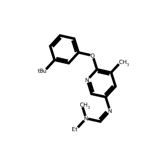 CCN(C)/C=N\c1cnc(Oc2cccc(C(C)(C)C)c2)c(C)c1